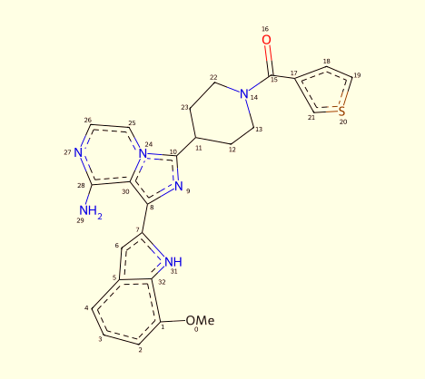 COc1cccc2cc(-c3nc(C4CCN(C(=O)c5ccsc5)CC4)n4ccnc(N)c34)[nH]c12